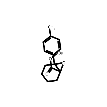 Cc1ccc(C23CCCCC2(C(=O)OC(C)(C)C)O3)cc1